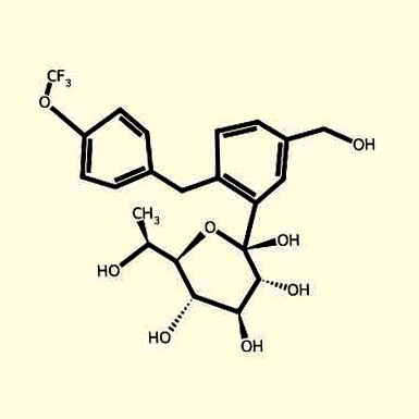 C[C@H](O)[C@H]1O[C@](O)(c2cc(CO)ccc2Cc2ccc(OC(F)(F)F)cc2)[C@H](O)[C@@H](O)[C@@H]1O